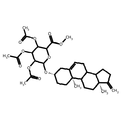 C=C1CCC2C3CC=C4C[C@@H](OC5OC(C(=O)OC)C(OC(C)=O)C(OC(C)=O)C5OC(C)=O)CC[C@]4(C)C3CC[C@]12C